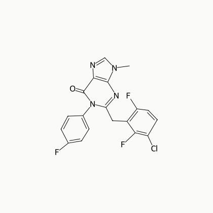 Cn1cnc2c(=O)n(-c3ccc(F)cc3)c(Cc3c(F)ccc(Cl)c3F)nc21